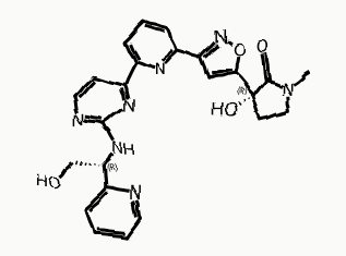 CN1CC[C@@](O)(c2cc(-c3cccc(-c4ccnc(N[C@@H](CO)c5ccccn5)n4)n3)no2)C1=O